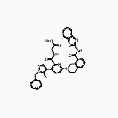 COC(=O)CNC(=O)c1nc(N2CCc3cccc(C(=O)Nc4nc5ccccc5s4)c3C2)ccc1-c1cnn(Cc2ccccc2)c1C